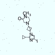 CN1CCN(C23CC(n4cc(I)nc4C4CC4)(C2)C3)CC1=O